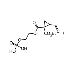 C=CC1CC1(C(=O)OCC)C(=O)OCCOP(=O)(O)O